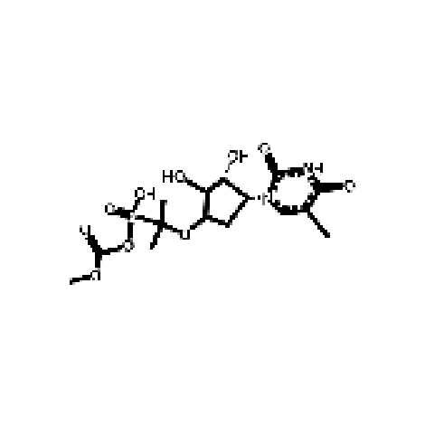 COC(=O)OP(=O)(O)C(C)(C)OC1C[C@@H](n2cc(C)c(=O)[nH]c2=O)[C@@H](O)C1O